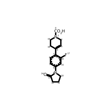 O=C(O)N1CC=C(c2ccc(N3CCCC3=O)cc2F)CC1